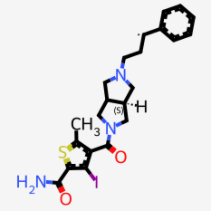 Cc1sc(C(N)=O)c(I)c1C(=O)N1CC2CN(CC[CH]c3ccccc3)C[C@H]2C1